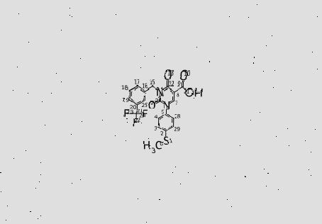 CSc1ccc(-n2cc(C(=O)O)c(=O)n(Cc3cccc(C(F)(F)F)c3)c2=O)cc1